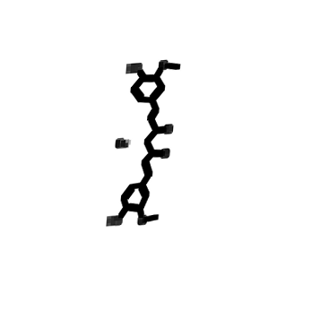 COc1cc(/C=C/C(=O)CC(=O)/C=C/c2ccc(O)c(OC)c2)ccc1O.[Cu]